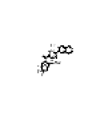 C=C(c1cnc(-c2cc3ccncc3cc2O)nn1)[C@H]1C[C@@]2(C)NC(CC2(F)F)[C@@H]1OC